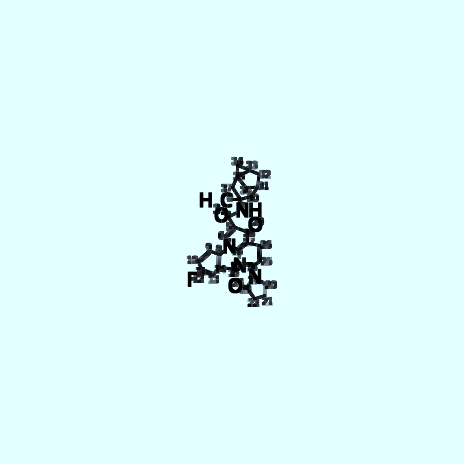 CC1(NC(=O)c2cn(-c3ccc(F)cc3F)c3nc(N4CCCC4=O)ccc3c2=O)CC2CC3CC3(C2)C1